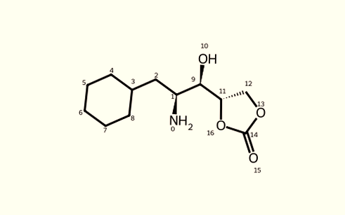 N[C@@H](CC1CCCCC1)[C@@H](O)[C@@H]1COC(=O)O1